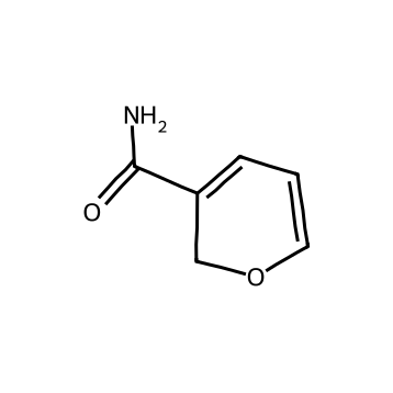 NC(=O)C1=CC=COC1